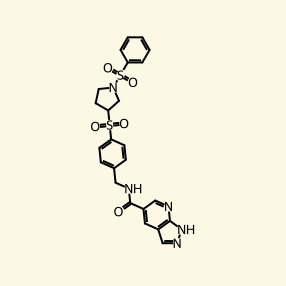 O=C(NCc1ccc(S(=O)(=O)C2CCN(S(=O)(=O)c3ccccc3)C2)cc1)c1cnc2[nH]ncc2c1